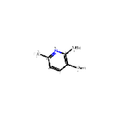 CCCC(C)c1ccc(C(F)(F)F)nc1NC